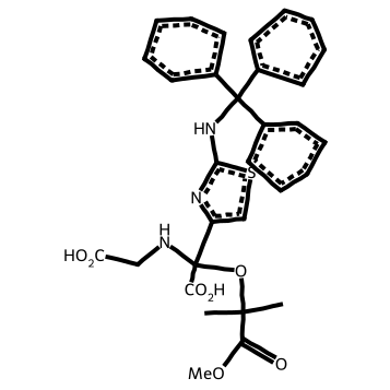 COC(=O)C(C)(C)OC(NCC(=O)O)(C(=O)O)c1csc(NC(c2ccccc2)(c2ccccc2)c2ccccc2)n1